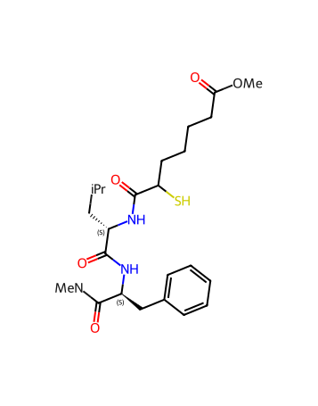 CNC(=O)[C@H](Cc1ccccc1)NC(=O)[C@H](CC(C)C)NC(=O)C(S)CCCCC(=O)OC